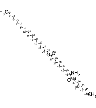 CCCCCCCCCCCCCCCCCCCCCCOC(=O)CCCCCCCCCC(N)C(=O)OCCC(F)CCCCC